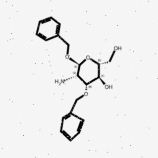 N[C@@H]1[C@@H](OCc2ccccc2)O[C@H](CO)[C@@H](O)[C@@H]1OCc1ccccc1